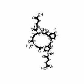 CN1CC(=O)N2C[C@@H](NC(=O)CCC(=O)O)C[C@H]2COc2ccc(F)cc2C(=O)N(C)[C@H](C(=O)NCCC(=O)O)CCC1=O